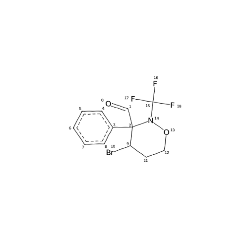 O=CC1(c2ccccc2)C(Br)CCON1C(F)(F)F